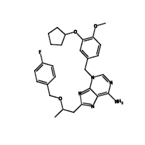 COc1ccc(Cn2cnc(N)c3nc(CC(C)OCc4ccc(F)cc4)nc2-3)cc1OC1CCCC1